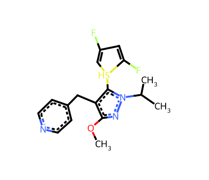 COc1nn(C(C)C)c([SH]2C=C(F)C=C2F)c1Cc1ccncc1